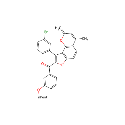 C=C1C=C(C)c2ccc3oc(C(=O)c4cccc(OCCCCC)c4)c(-c4cccc(Br)c4)c3c2O1